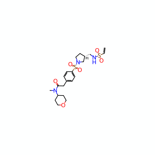 C=CS(=O)(=O)NC[C@H]1CCN(S(=O)(=O)c2ccc(CC(=O)N(C)C3CCOCC3)cc2)C1